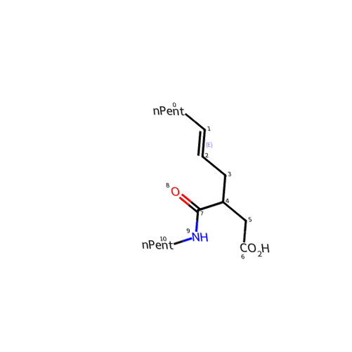 CCCCC/C=C/CC(CC(=O)O)C(=O)NCCCCC